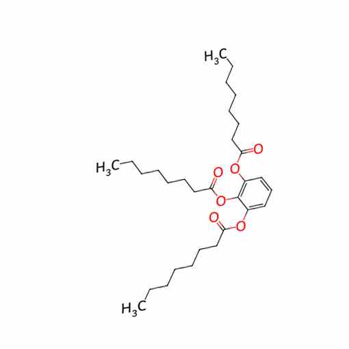 CCCCCCCC(=O)Oc1cccc(OC(=O)CCCCCCC)c1OC(=O)CCCCCCC